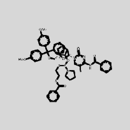 COc1ccc(C(OC[C@]23COC(C2OP(SCCSC(=O)c2ccccc2)N2CCCC2)[C@H](n2cc(C)c(NC(=O)c4ccccc4)nc2=O)O3)(c2ccccc2)c2ccc(OC)cc2)cc1